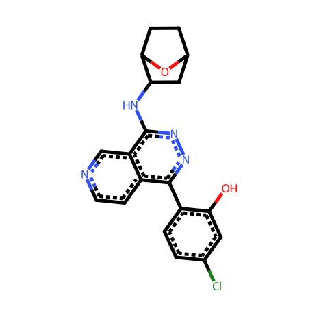 Oc1cc(Cl)ccc1-c1nnc(NC2CC3CCC2O3)c2cnccc12